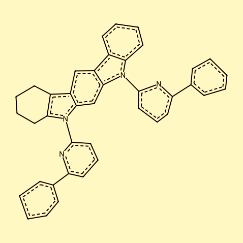 c1ccc(-c2cccc(-n3c4c(c5cc6c7ccccc7n(-c7cccc(-c8ccccc8)n7)c6cc53)CCCC4)n2)cc1